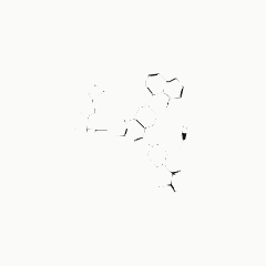 C=C(F)C(=O)N1CCN(c2nc(OCC3S[C@]3(C)N(C)CC3CCC3)nc3c2CCN(c2cncc4cccc(C)c24)C3)C[C@@H]1CC#N